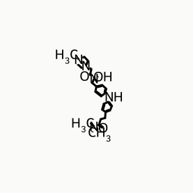 CN1CCN(CC(=O)N(O)Cc2ccc(Nc3ccc(CCC(=O)N(C)C)cc3)cc2)CC1